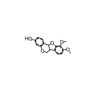 COc1ccc2c(c1OC)OC1c3ccc(O)cc3OCC21